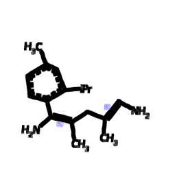 C/C(=C\N)C/C(C)=C(/N)c1ccc(C)cc1C(C)C